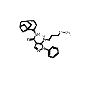 COCCCNc1c(C(=O)NC2CCC3CC4CC2(C3)C4)cnn1-c1ccccc1